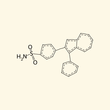 NS(=O)(=O)c1ccc(-c2cc3cccccc-3c2-c2ccccc2)cc1